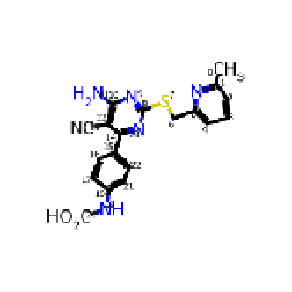 Cc1cccc(CSc2nc(N)c(C#N)c(-c3ccc(NC(=O)O)cc3)n2)n1